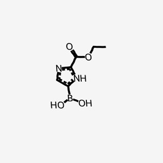 CCOC(=O)c1ncc(B(O)O)[nH]1